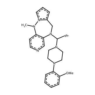 CCCC(N1CCN(c2ccccc2OC)CC1)N1Cc2cccn2N(C)c2ccncc21